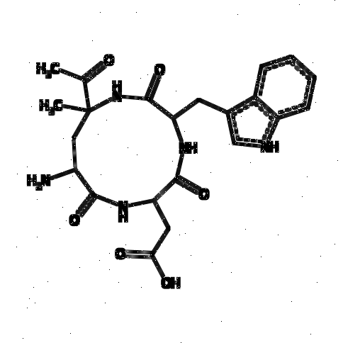 CC(=O)C1(C)CC(N)C(=O)NC(CC(=O)O)C(=O)NC(Cc2c[nH]c3ccccc23)C(=O)N1